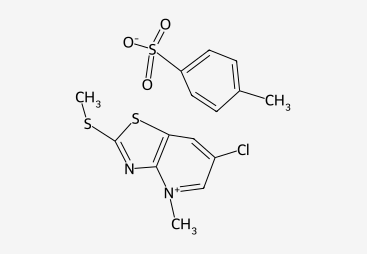 CSc1nc2c(cc(Cl)c[n+]2C)s1.Cc1ccc(S(=O)(=O)[O-])cc1